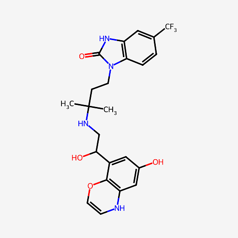 CC(C)(CCn1c(=O)[nH]c2cc(C(F)(F)F)ccc21)NCC(O)c1cc(O)cc2c1OC=CN2